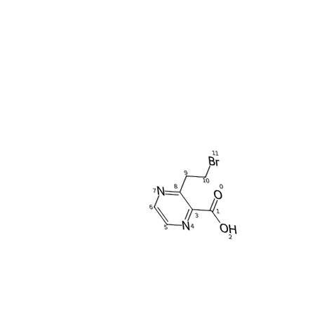 O=C(O)c1nccnc1CCBr